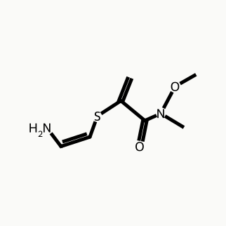 C=C(S/C=C\N)C(=O)N(C)OC